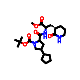 COC(=O)C(C[C@@H]1CCCNC1=O)NC(=O)C1CC(C2CCCC2)CN1C(=O)OC(C)(C)C